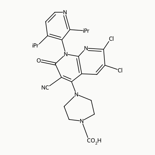 CC(C)c1ccnc(C(C)C)c1-n1c(=O)c(C#N)c(N2CCN(C(=O)O)CC2)c2cc(Cl)c(Cl)nc21